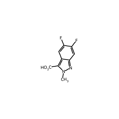 Cn1nc2cc(F)c(F)cc2c1C(=O)O